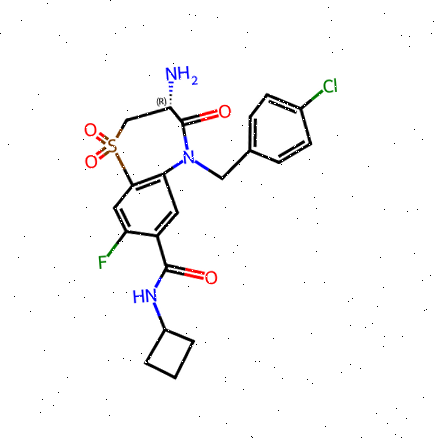 N[C@H]1CS(=O)(=O)c2cc(F)c(C(=O)NC3CCC3)cc2N(Cc2ccc(Cl)cc2)C1=O